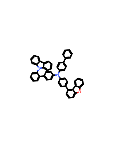 c1ccc(-c2ccc(N(c3ccc(-c4ccccc4-n4c5ccccc5c5ccccc54)cc3)c3ccc(-c4cccc5oc6ccccc6c45)cc3)cc2)cc1